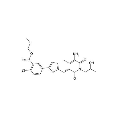 CCCOC(=O)c1cc(-c2ccc(/C=C3/C(=O)N(CC(C)O)C(=O)C(N)=C3C)o2)ccc1Cl